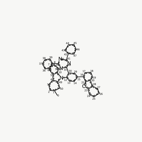 Cc1ccc2c3ccccc3n(-c3ccc(-c4cccc5c4oc4ccccc45)cc3-c3nc(-c4ccccc4)nc(-c4ccccc4)n3)c2c1